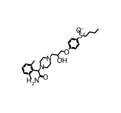 CCCC[S+]([O-])c1ccc(OCC(O)CN2CCN(C(C(N)=O)c3c(C)cccc3C)CC2)cc1